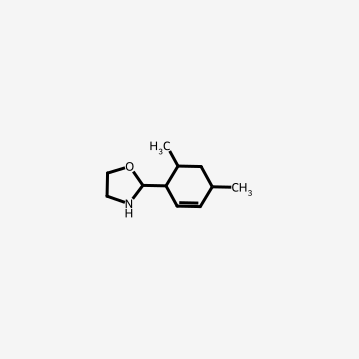 CC1C=CC(C2NCCO2)C(C)C1